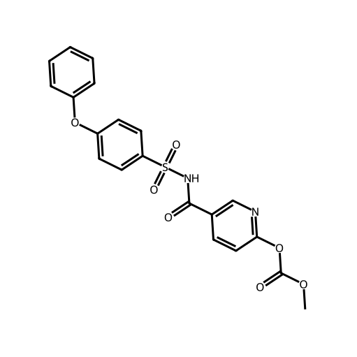 COC(=O)Oc1ccc(C(=O)NS(=O)(=O)c2ccc(Oc3ccccc3)cc2)cn1